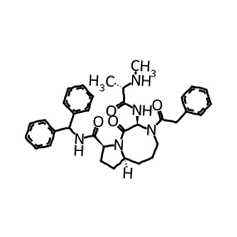 CN[C@@H](C)C(=O)N[C@@H]1C(=O)N2[C@@H](CCCN1C(=O)Cc1ccccc1)CC[C@H]2C(=O)NC(c1ccccc1)c1ccccc1